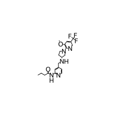 CCCC(=O)Nc1cc(CN[C@@H]2CCN(c3ncc(C(F)(F)F)cc3OC)C2)ccn1